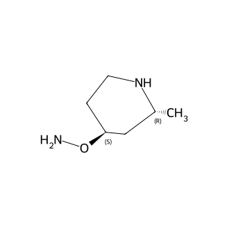 C[C@@H]1C[C@@H](ON)CCN1